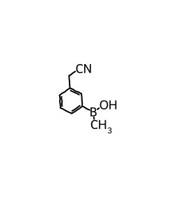 CB(O)c1cccc(CC#N)c1